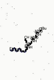 C#CCCCNC(=O)[C@H](CCCCNC(=O)CNC(=O)CNC(=O)CNC(=O)OC(C)(C)C)NC(=O)CC/C=C\C/C=C\C/C=C\C/C=C\C/C=C\C/C=C\CC